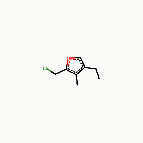 CCc1coc(CCl)c1C